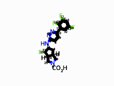 O=C(O)N1C[C@@H]2C[C@@H](Nc3ccc(-c4cc(F)cc(F)c4F)nn3)[C@@H](F)[C@@H]2C1